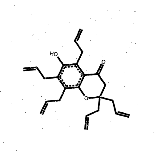 C=CCc1c(O)c(CC=C)c2c(c1CC=C)OC(CC=C)(CC=C)CC2=O